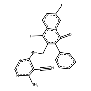 N#Cc1c(N)ncnc1NCc1c(-c2ccccc2)c(=O)n2cc(F)ccc2c1F